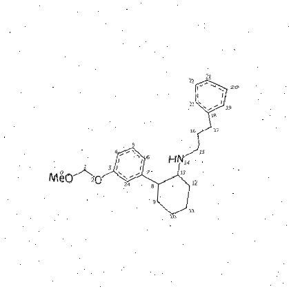 COCOc1cccc(C2CCCCC2NCCCc2ccccc2)c1